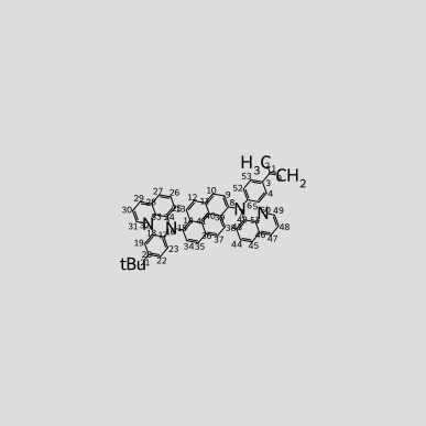 C=C(C)c1ccc(N(c2ccc3ccc4c(N(c5ccc(C(C)(C)C)cc5)c5cccc6cccnc56)ccc5ccc2c3c54)c2cccc3cccnc23)cc1